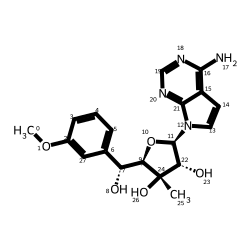 COc1cccc([C@@H](O)[C@H]2O[C@@H](n3ccc4c(N)ncnc43)[C@H](O)[C@]2(C)O)c1